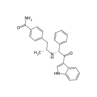 C[C@H](Cc1ccc(C(N)=O)cc1)N[C@@H](C(=O)c1c[nH]c2ccccc12)c1ccccc1